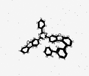 c1ccc(-c2cccc(-c3cccc4oc5cc(-c6nc(-c7ccccc7)nc(-c7ccc8c(c7)oc7ccccc78)n6)ccc5c34)c2)cc1